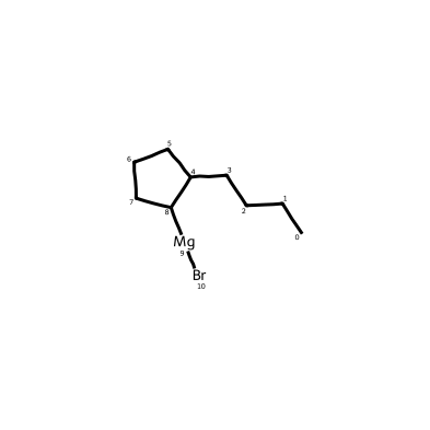 CCCCC1CCC[CH]1[Mg][Br]